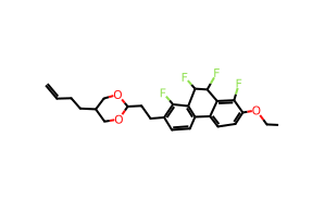 C=CCCC1COC(CCc2ccc3c(c2F)C(F)C(F)c2c-3ccc(OCC)c2F)OC1